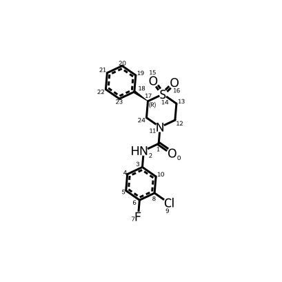 O=C(Nc1ccc(F)c(Cl)c1)N1CCS(=O)(=O)[C@H](c2ccccc2)C1